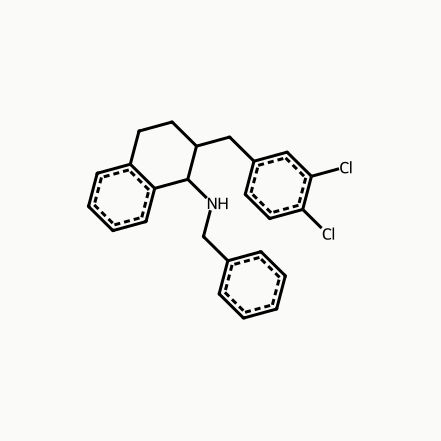 Clc1ccc(CC2CCc3ccccc3C2NCc2ccccc2)cc1Cl